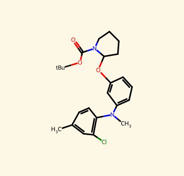 Cc1ccc(N(C)c2cccc(OC3CCCCN3C(=O)OC(C)(C)C)c2)c(Cl)c1